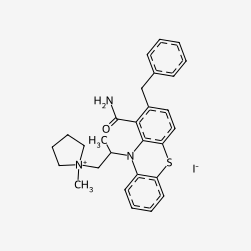 CC(C[N+]1(C)CCCC1)N1c2ccccc2Sc2ccc(Cc3ccccc3)c(C(N)=O)c21.[I-]